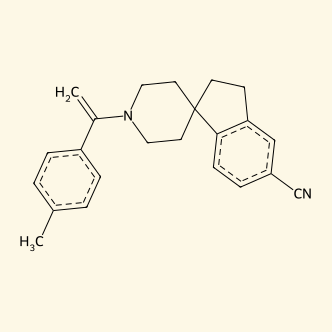 C=C(c1ccc(C)cc1)N1CCC2(CCc3cc(C#N)ccc32)CC1